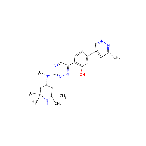 Cc1cc(-c2ccc(-c3cnc(N(C)C4CC(C)(C)NC(C)(C)C4)nn3)c(O)c2)cnn1